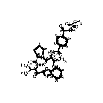 CC(C)C(NC(=O)[C@@H]1CCCN1C(=O)[C@@H](NC(=O)c1ccc(C(=O)NS(C)(=O)=O)cc1)C(C)C)C(=O)c1nc2ccccc2o1